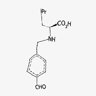 CC(C)C[C@H](NCc1ccc(C=O)cc1)C(=O)O